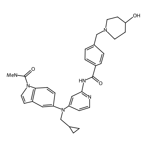 CNC(=O)n1ccc2cc(N(CC3CC3)c3ccnc(NC(=O)c4ccc(CN5CCC(O)CC5)cc4)c3)ccc21